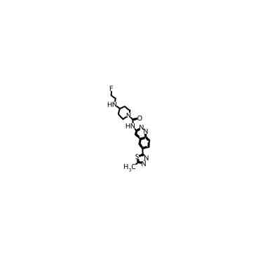 Cc1nnc(-c2ccc3nnc(NC(=O)N4CCC(NCCF)CC4)cc3c2)s1